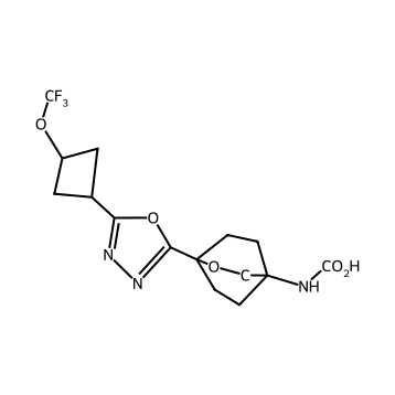 O=C(O)NC12CCC(c3nnc(C4CC(OC(F)(F)F)C4)o3)(CC1)OC2